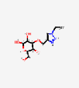 CC(C)Cn1cc(COC2C(O)C(O)OC(CO)C2O)nn1